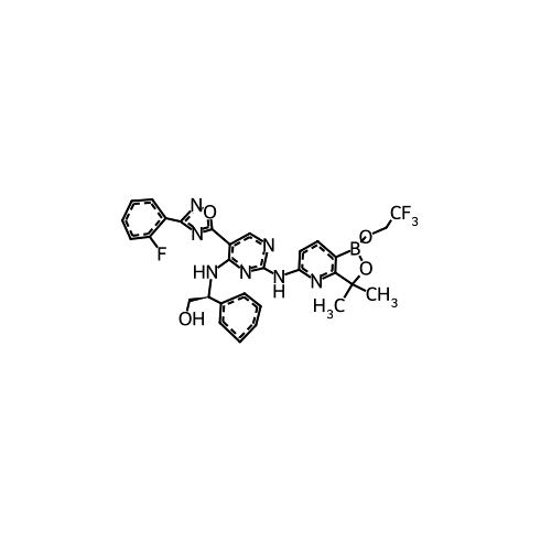 CC1(C)OB(OCC(F)(F)F)c2ccc(Nc3ncc(-c4nc(-c5ccccc5F)no4)c(N[C@H](CO)c4ccccc4)n3)nc21